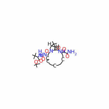 CC(C)(C)OC(=O)C(NC(=O)N[C@H]1CCCCCCCCCCC(C(=O)C(N)=O)NC(=O)[C@@H]2[C@@H]3[C@H](CN2C1=O)C3(C)C)C(C)(C)C